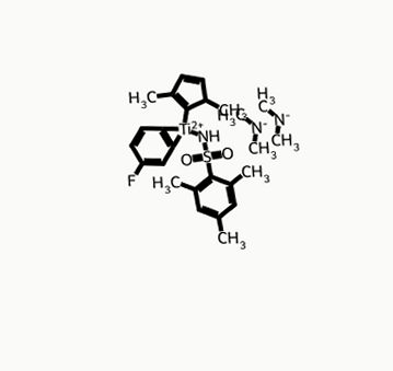 CC1=[C]([Ti+2]2([NH]S(=O)(=O)c3c(C)cc(C)cc3C)[c]3ccc(F)c[c]32)C(C)C=C1.C[N-]C.C[N-]C